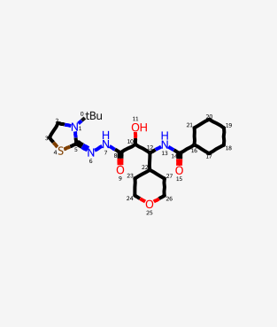 CC(C)(C)N1CCSC1=NNC(=O)C(O)C(NC(=O)C1CCCCC1)C1CCOCC1